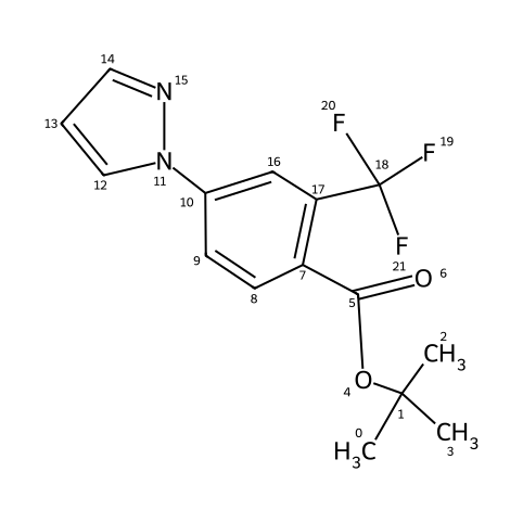 CC(C)(C)OC(=O)c1ccc(-n2cccn2)cc1C(F)(F)F